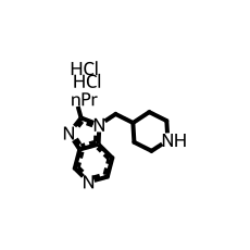 CCCc1nc2cnccc2n1CC1CCNCC1.Cl.Cl